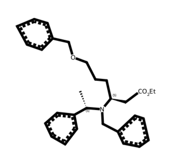 CCOC(=O)C[C@H](CCCOCc1ccccc1)N(Cc1ccccc1)[C@@H](C)c1ccccc1